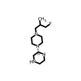 CC(CF)CN1CCN([C@H]2CNCC[N]2)CC1